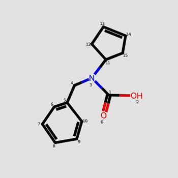 O=C(O)N(Cc1ccccc1)C1CC=CC1